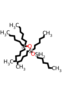 CCCCCC[SiH2]O[Si](CCCCCC)(CCCCCC)O[Si](CCCCCC)(CCCCCC)CCCCCC